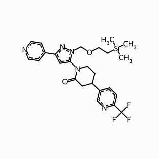 C[Si](C)(C)CCOCn1nc(-c2ccncc2)cc1N1CCC(c2ccc(C(F)(F)F)nc2)CC1=O